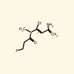 C=C(N)/C=C(\CC)N(C)C(=O)CCF